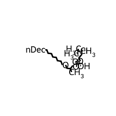 CCCCCCCCCCCCCCCCCCOCC(C)COP(=O)(O)OCC[N+](C)(C)C